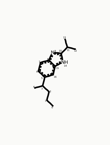 CCCC(C)c1ccc2nc(C(C)C)[nH]c2c1